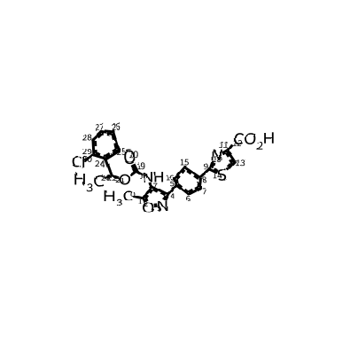 Cc1onc(-c2ccc(-c3nc(C(=O)O)cs3)cc2)c1NC(=O)OC(C)c1ccccc1Cl